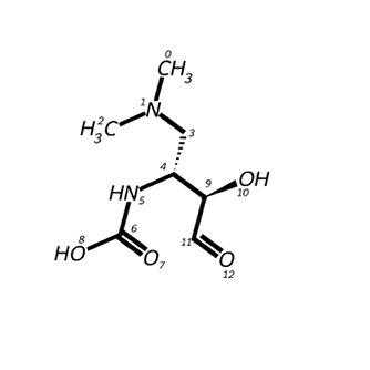 CN(C)C[C@@H](NC(=O)O)[C@@H](O)C=O